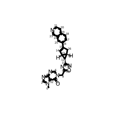 Cn1cnc2ncn(Cc3nc([C@H]4[C@@H]5C=C(c6ccc7ccncc7c6)C[C@@H]54)no3)c(=O)c21